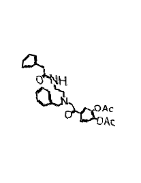 CC(=O)Oc1ccc(C(=O)CN(CCNC(=O)Cc2ccccc2)Cc2ccccc2)cc1OC(C)=O